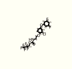 O=C(NCCOc1ccc(Oc2cc(F)cc(F)c2)cc1Cl)OCC(F)(F)C(F)(F)F